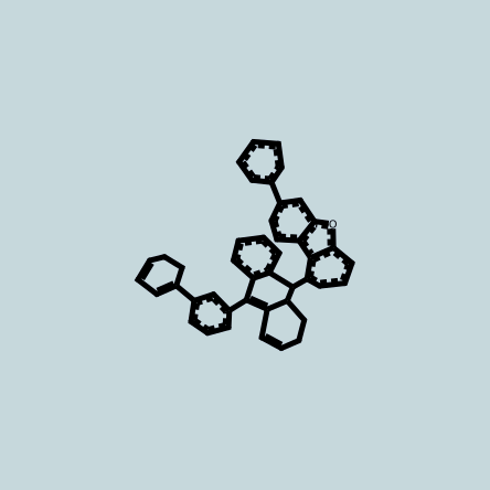 C1=CCCC(c2cccc(C3=C4C=CCCC4C(c4cccc5oc6cc(-c7ccccc7)ccc6c45)c4ccccc43)c2)=C1